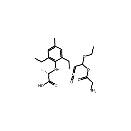 CCOC(C=C=O)OC(=O)CN.CCc1cc(C)cc(CC)c1N[C@@H](C)C(=O)O